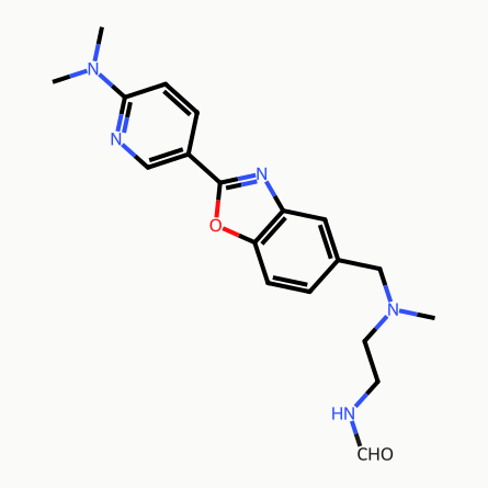 CN(CCNC=O)Cc1ccc2oc(-c3ccc(N(C)C)nc3)nc2c1